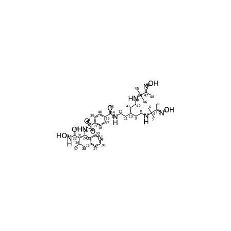 C/C(=N\O)C(C)(C)NCCC(CCNC(=O)c1ccc(S(=O)(=O)NC(c2cccnc2)C(C(=O)NO)C(C)C)cc1)CCNC(C)(C)/C(C)=N/O